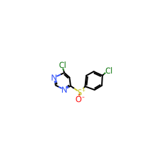 [O-][S+](c1ccc(Cl)cc1)c1cc(Cl)ncn1